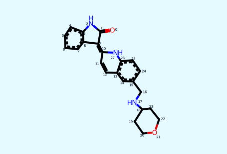 O=C1Nc2ccccc2/C1=C1\C=Cc2cc(CNC3CCOCC3)ccc2N1